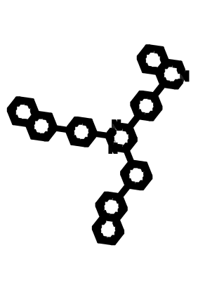 c1cc(-c2ccc3ccccc3c2)cc(-c2cc(-c3ccc(-c4cncc5ccccc45)cc3)nc(-c3ccc(-c4ccc5ccccc5c4)cc3)n2)c1